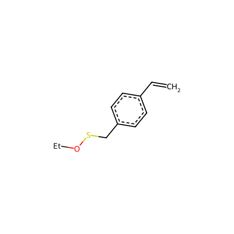 C=Cc1ccc(CSOCC)cc1